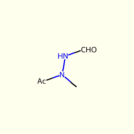 CC(=O)N(C)NC=O